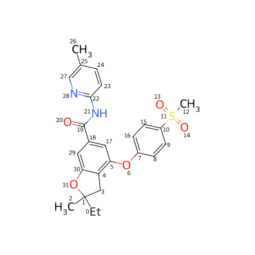 CCC1(C)Cc2c(Oc3ccc(S(C)(=O)=O)cc3)cc(C(=O)Nc3ccc(C)cn3)cc2O1